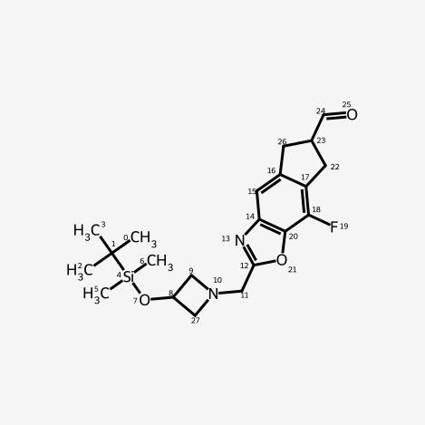 CC(C)(C)[Si](C)(C)OC1CN(Cc2nc3cc4c(c(F)c3o2)CC(C=O)C4)C1